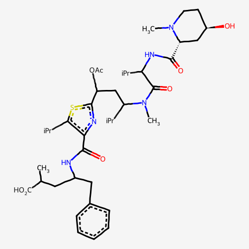 CC(=O)OC(CC(C(C)C)N(C)C(=O)C(NC(=O)[C@H]1C[C@H](O)CCN1C)C(C)C)c1nc(C(=O)NC(Cc2ccccc2)CC(C)C(=O)O)c(C(C)C)s1